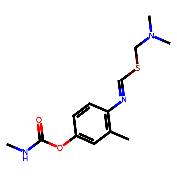 CNC(=O)Oc1ccc(N=CSCN(C)C)c(C)c1